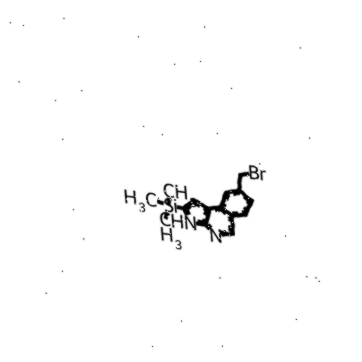 C[Si](C)(C)c1cc2c(ncc3ccc(CBr)cc32)[nH]1